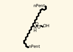 CCCCC/C=C\C/C=C\CCCCCCCCC(CCCCCCCC/C=C\C/C=C\CCCCC)NC(=O)OCCO